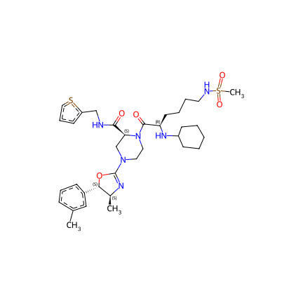 Cc1cccc([C@@H]2OC(N3CCN(C(=O)[C@@H](CCCCNS(C)(=O)=O)NC4CCCCC4)[C@H](C(=O)NCc4cccs4)C3)=N[C@H]2C)c1